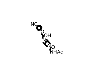 CC(=O)NCC(=O)N1CC2CC(CN(CC(O)COc3ccc(C#N)cc3)C2)C1